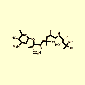 CCCC(C)(O)[C@H](O)[C@@H](C)N(C)C[C@H](C)CC(C)(O)C[C@@H](C)C(O[C@H]1CC(NC)[C@H](O)C(C)O1)[C@@H](C)C(=O)O